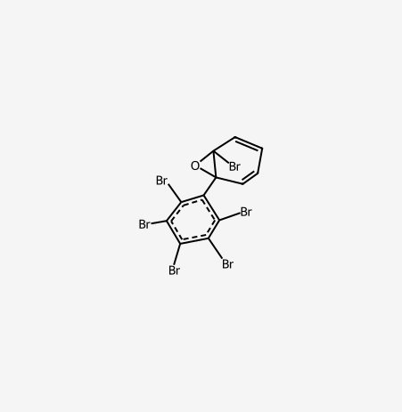 Brc1c(Br)c(Br)c(C23C=CC=CC2(Br)O3)c(Br)c1Br